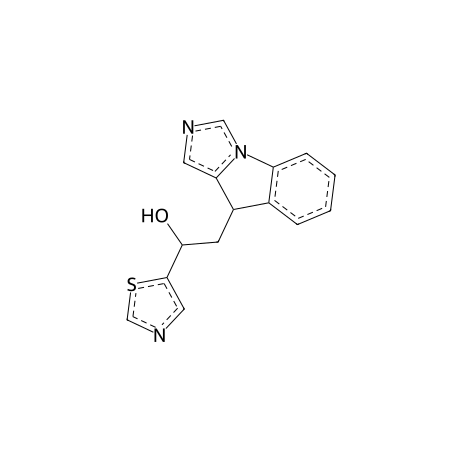 OC(CC1c2ccccc2-n2cncc21)c1cncs1